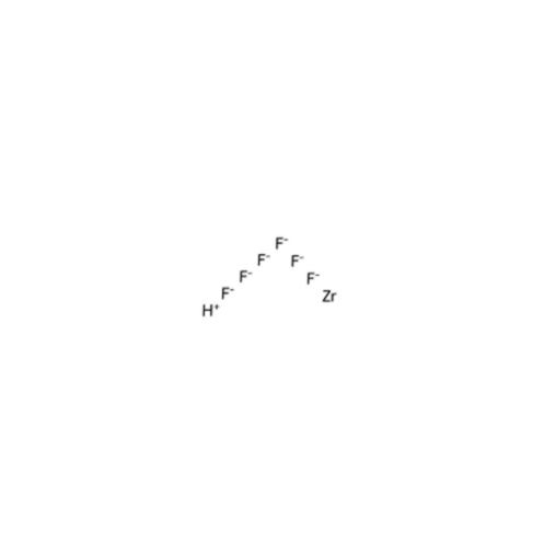 [F-].[F-].[F-].[F-].[F-].[F-].[H+].[Zr]